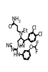 CCN(CCC(N)=O)C1CN(C(=NC#N)Nc2cccc(OC(F)F)c2)N=C1c1ccc(Cl)c(Cl)c1